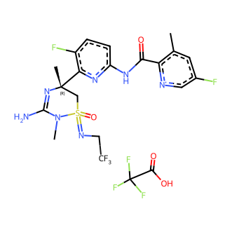 Cc1cc(F)cnc1C(=O)Nc1ccc(F)c([C@]2(C)CS(=O)(=NCC(F)(F)F)N(C)C(N)=N2)n1.O=C(O)C(F)(F)F